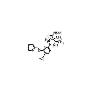 CNC(=O)C(C)(C)C(C)NC(=O)c1ccc(C2CC2)c(OCc2ccccn2)n1